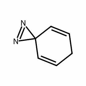 C1=CC2(C=CC1)N=N2